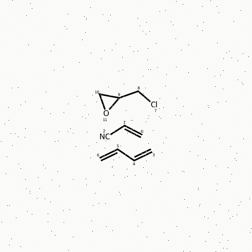 C=CC#N.C=CC=C.ClCC1CO1